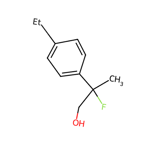 CCc1ccc(C(C)(F)CO)cc1